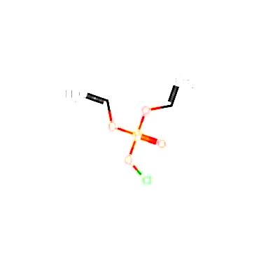 C=COP(=O)(OCl)OC=C